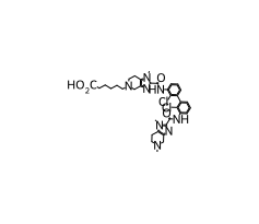 CN1CCc2c(nc(C(=O)Nc3cccc(-c4cccc(NC(=O)c5nc6c(n5C)CCN(CCCCCC(=O)O)C6)c4Cl)c3Cl)n2C)C1